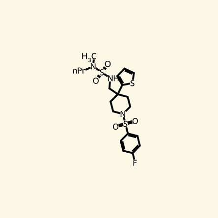 CCCN(C)S(=O)(=O)NCC1(c2cccs2)CCN(S(=O)(=O)c2ccc(F)cc2)CC1